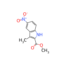 COC(=O)c1[nH]c2ccc([N+](=O)[O-])cc2c1C